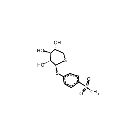 CS(=O)(=O)c1ccc(S[C@@H]2SC[C@@H](O)[C@H](O)[C@H]2O)cc1